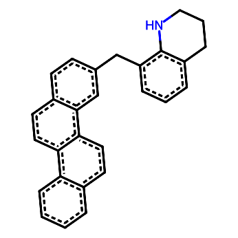 c1cc2c(c(Cc3ccc4ccc5c6ccccc6ccc5c4c3)c1)NCCC2